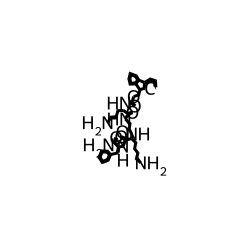 NCCCCC(NC(=O)CNC(=O)C(CCCN)NC(=O)OCC1c2ccccc2-c2ccccc21)C(=O)NC(Cc1ccccc1)C(N)=O